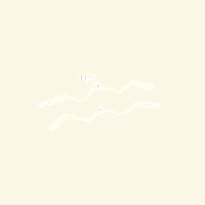 C=CCOCC=C.C=CCOCC=C.S